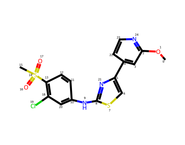 COc1cc(-c2csc(Nc3ccc(S(C)(=O)=O)c(Cl)c3)n2)ccn1